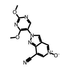 COc1ncc(-n2cc3c[n+]([O-])cc(C#N)c3n2)c(OC)n1